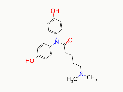 CN(C)CCCCC(=O)N(c1ccc(O)cc1)c1ccc(O)cc1